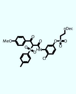 CCCCCCCCCCCCS(=O)(=O)Oc1ccc(Cl)c(NC(=O)C(C(=O)c2ccc(OC)cc2)S(=O)(=O)c2ccc(C)cc2)c1